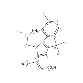 Cc1ccc2c(c1)C1=C(N=NC1C[C@H](C)N)C2(C)C.O=C(O)C=CC(=O)O